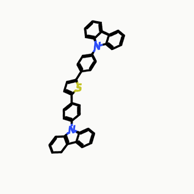 C1=Cc2c(c3ccccc3n2-c2ccc(-c3ccc(-c4ccc(-n5c6ccccc6c6ccccc65)cc4)s3)cc2)CC1